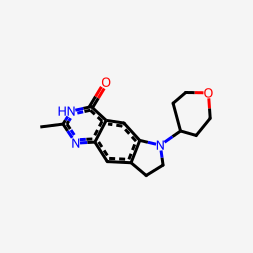 Cc1nc2cc3c(cc2c(=O)[nH]1)N(C1CCOCC1)CC3